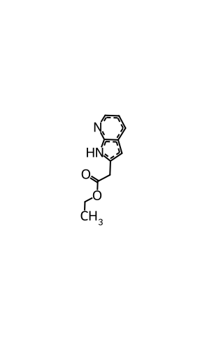 CCOC(=O)Cc1cc2cccnc2[nH]1